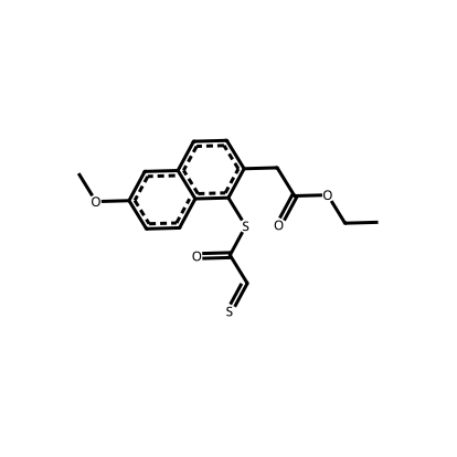 CCOC(=O)Cc1ccc2cc(OC)ccc2c1SC(=O)C=S